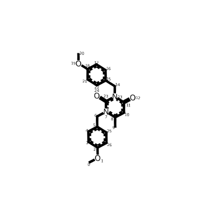 COc1ccc(Cn2c(C)cc(=O)n(Cc3ccc(OC)cc3)c2=O)cc1